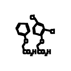 O=C(O)COc1ccc(Cl)cc1Cl.O=C(O)COc1ccccc1